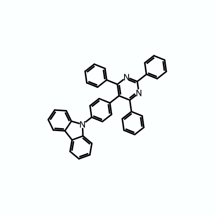 c1ccc(-c2nc(-c3ccccc3)c(-c3ccc(-n4c5ccccc5c5ccccc54)cc3)c(-c3ccccc3)n2)cc1